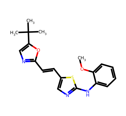 COc1ccccc1Nc1ncc(C=Cc2ncc(C(C)(C)C)o2)s1